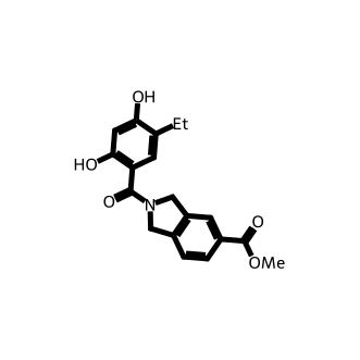 CCc1cc(C(=O)N2Cc3ccc(C(=O)OC)cc3C2)c(O)cc1O